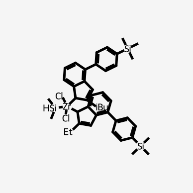 CCC1=Cc2c(-c3ccc([Si](C)(C)C)cc3)cccc2[CH]1[Zr]([Cl])([Cl])([CH]1C(C(C)CC)=Cc2c(-c3ccc([Si](C)(C)C)cc3)cccc21)[SiH](C)C